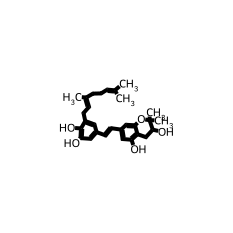 CC(C)=CCC/C(C)=C/Cc1cc(/C=C/c2cc(O)c3c(c2)OC(C)(C)C(O)C3)cc(O)c1O